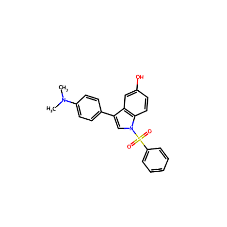 CN(C)c1ccc(-c2cn(S(=O)(=O)c3ccccc3)c3ccc(O)cc23)cc1